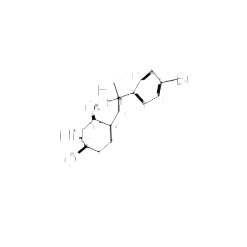 CC(O)(CC1CCC(=O)NC1=O)c1ccc(Br)cc1